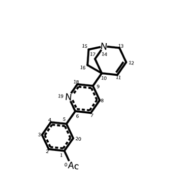 CC(=O)c1cccc(-c2ccc(C34C=CCN(CC3)C4)cn2)c1